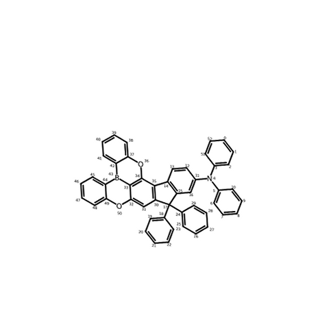 c1ccc(N(c2ccccc2)c2ccc3c(c2)C(c2ccccc2)(c2ccccc2)c2cc4c5c(c2-3)Oc2ccccc2B5c2ccccc2O4)cc1